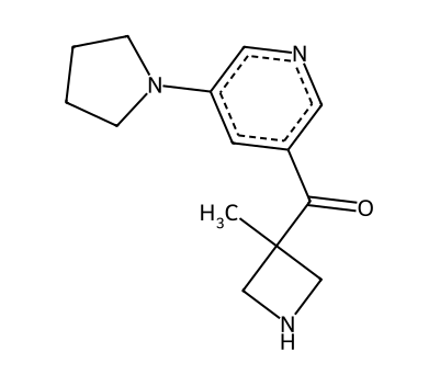 CC1(C(=O)c2cncc(N3CCCC3)c2)CNC1